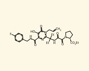 C=CCn1c(C(CC)(CC)NC(=O)C(=O)N2CCC[C@H]2C(=O)OCC)nc(C(=O)NCc2ccc(F)cc2)c(O)c1=O